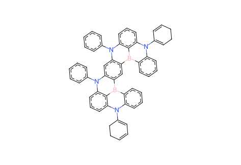 C1=CCCC(N2c3ccccc3B3c4cc5c(cc4N(c4ccccc4)c4cccc2c43)N(c2ccccc2)c2cccc3c2B5c2ccccc2N3C2=CCCC=C2)=C1